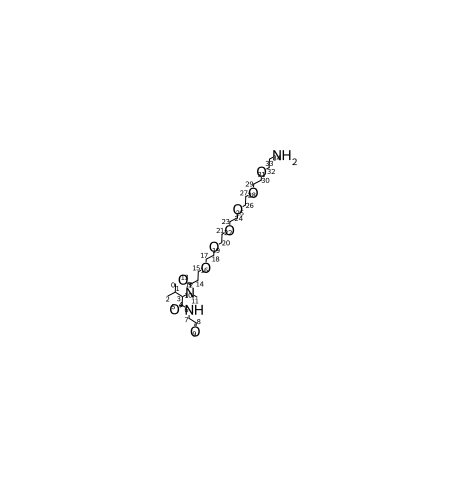 CC(C)C(C(=O)NCC=O)N(C)C(=O)CCOCCOCCOCCOCCOCCOCCN